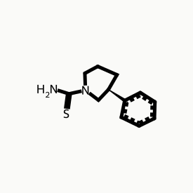 NC(=S)N1CCC[C@@H](c2ccccc2)C1